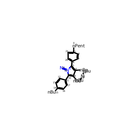 CCCCCc1ccc(C2=C(CCCC)C(CCCC)=C(c3ccc(CCCC)cc3)[N+]2=[N-])cc1.CCC[CH2][Ni][CH2]CCC